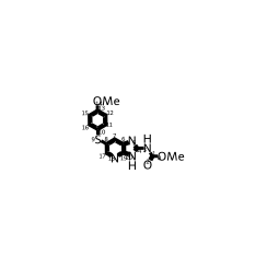 COC(=O)Nc1nc2cc(Sc3ccc(OC)cc3)cnc2[nH]1